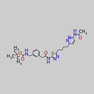 CC(=O)Nc1ccc(CCCCc2nnc(NC(=O)Cc3cccc(CNC(=O)OC(C)(C)C)c3)s2)nn1